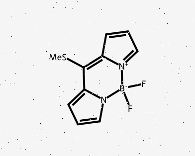 CSC1=C2C=CC=[N+]2[B-](F)(F)n2cccc21